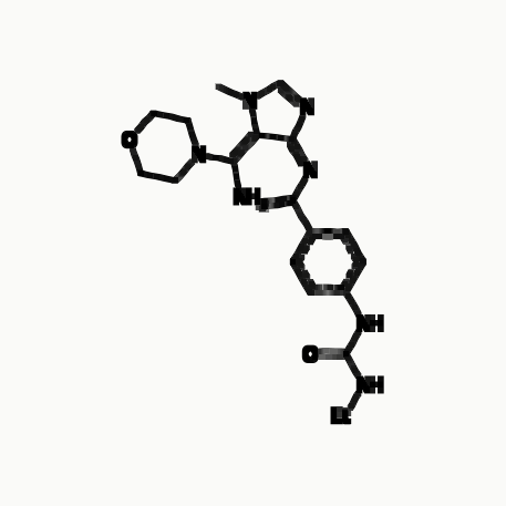 C=C(/N=C1/N=CN(C)/C1=C(/N)N1CCOCC1)c1ccc(NC(=O)NCC)cc1